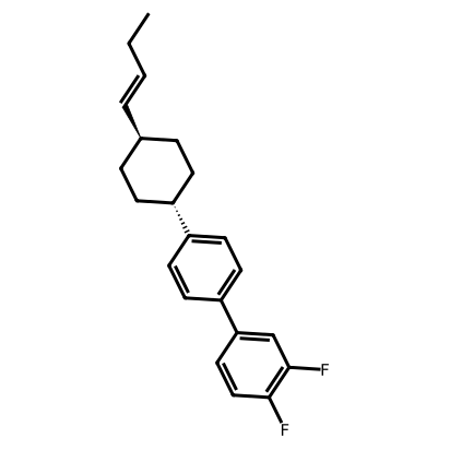 CC/C=C/[C@H]1CC[C@H](c2ccc(-c3ccc(F)c(F)c3)cc2)CC1